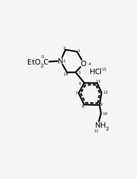 CCOC(=O)N1CCOC(c2ccc(CN)cc2)C1.Cl